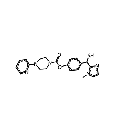 Cn1ccnc1C(S)c1ccc(OC(=O)N2CCN(c3ccccn3)CC2)cc1